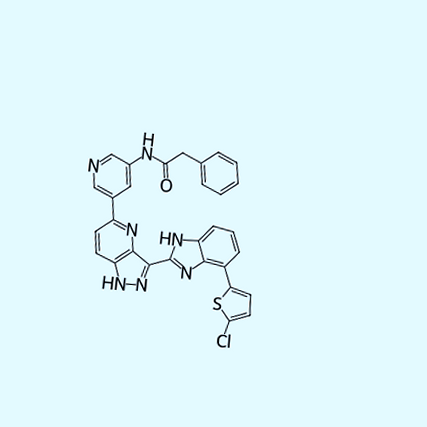 O=C(Cc1ccccc1)Nc1cncc(-c2ccc3[nH]nc(-c4nc5c(-c6ccc(Cl)s6)cccc5[nH]4)c3n2)c1